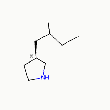 CCC(C)C[C@@H]1CCNC1